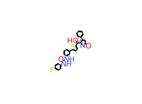 CN1C(=O)C[C@H](c2ccccc2)[C@@H]1C(O)c1ccc(-c2cccc(NC(=O)Nc3ccc(F)cc3)c2)s1